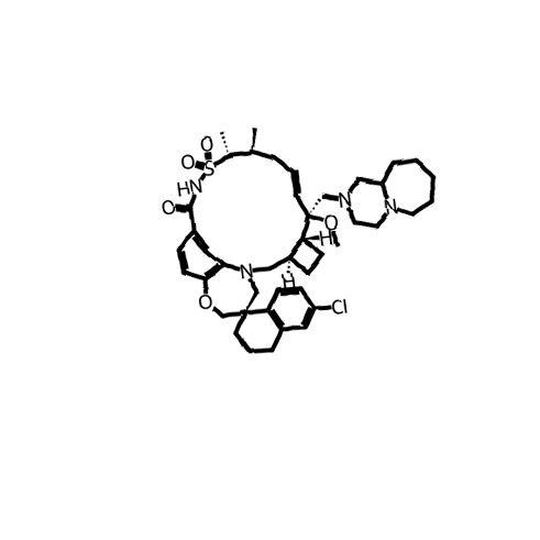 CO[C@]1(CN2CCN3CCCCCC3C2)/C=C/C[C@H](C)[C@@H](C)S(=O)(=O)NC(=O)c2ccc3c(c2)N(C[C@@H]2CC[C@H]21)C[C@@]1(CCCc2cc(Cl)ccc21)CO3